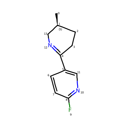 C[C@H]1CCC(c2ccc(F)nc2)=NC1